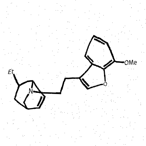 CCC1CC2C=CC1N(CCc1coc3c(OC)cccc13)C2